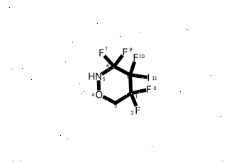 FC1(F)CONC(F)(F)C1(F)I